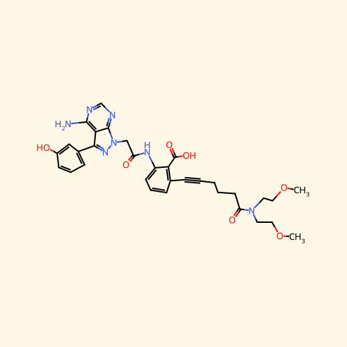 COCCN(CCOC)C(=O)CCCC#Cc1cccc(NC(=O)Cn2nc(-c3cccc(O)c3)c3c(N)ncnc32)c1C(=O)O